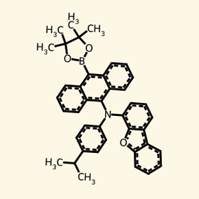 CC(C)c1ccc(N(c2c3ccccc3c(B3OC(C)(C)C(C)(C)O3)c3ccccc23)c2cccc3c2oc2ccccc23)cc1